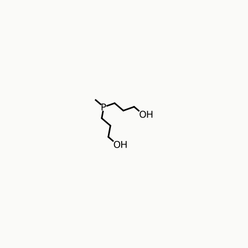 CP(CCCO)CCCO